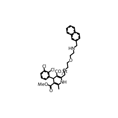 CCOC(=O)C1=C(COCCOCCNCc2ccc3ccccc3c2)NC(C)=C(C(=O)OC)C1c1cccc(Cl)c1Cl